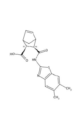 Cc1cc2nc(NC(=O)[C@@H]3C4C=CC(C4)[C@@H]3C(=O)O)sc2cc1C